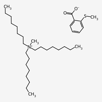 CCCCCCCC[N+](C)(CCCCCCCC)CCCCCCCC.CSc1ccccc1C(=O)[O-]